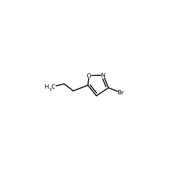 CCCc1cc(Br)no1